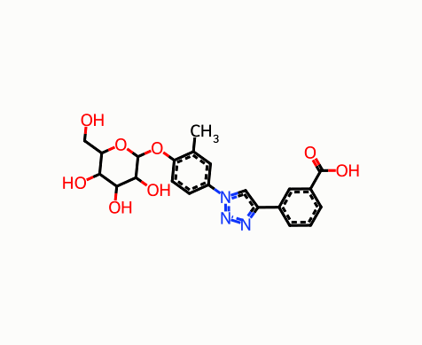 Cc1cc(-n2cc(-c3cccc(C(=O)O)c3)nn2)ccc1OC1OC(CO)C(O)C(O)C1O